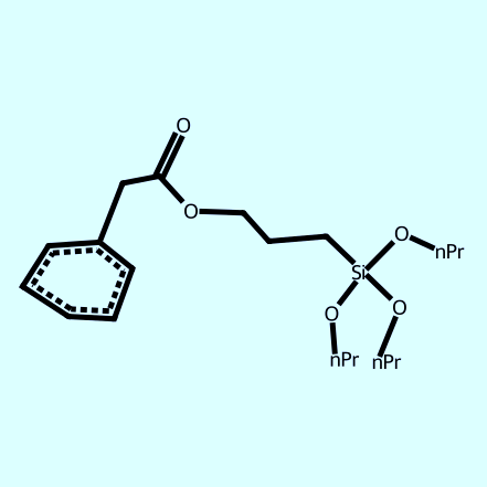 CCCO[Si](CCCOC(=O)Cc1ccccc1)(OCCC)OCCC